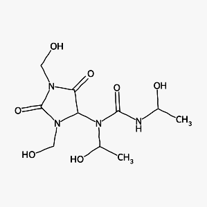 CC(O)NC(=O)N(C(C)O)C1C(=O)N(CO)C(=O)N1CO